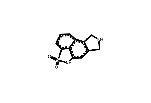 O=S1(=O)Nc2cc3c(c4cccc1c24)CNC3